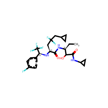 CC[C@H](NC(=O)[C@H](CC(F)(F)CC1CC1)N[C@@H](c1ccc(F)cc1)C(F)(F)F)C(O)C(=O)NC1CC1